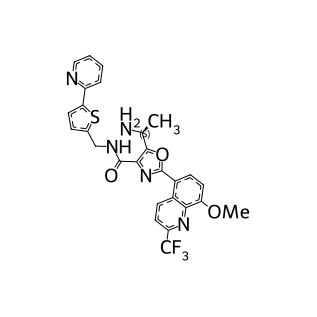 COc1ccc(-c2nc(C(=O)NCc3ccc(-c4ccccn4)s3)c([C@H](C)N)o2)c2ccc(C(F)(F)F)nc12